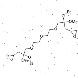 CCOC(COCCOCCOCC(CC1CO1)(OC)OCC)(CC1CO1)OC